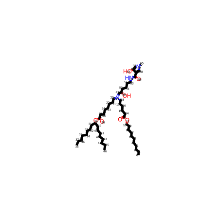 CCCCCCCCCCCOC(=O)CCCCCN(CCCCCCCC(=O)OC(CCCCCCCC)CCCCCCCC)CC(O)CCCCNC(=O)c1cn(C)cc1O